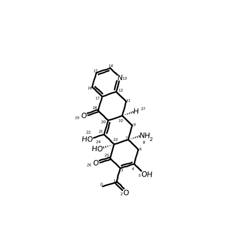 CC(=O)C1=C(O)C[C@]2(N)C[C@@H]3Cc4ncccc4C(=O)C3=C(O)[C@]2(O)C1=O